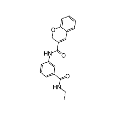 CCNC(=O)c1cccc(NC(=O)C2=Cc3ccccc3OC2)c1